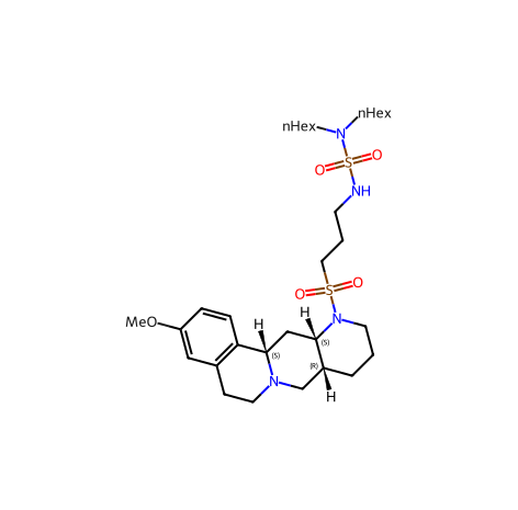 CCCCCCN(CCCCCC)S(=O)(=O)NCCCS(=O)(=O)N1CCC[C@@H]2CN3CCc4cc(OC)ccc4[C@@H]3C[C@@H]21